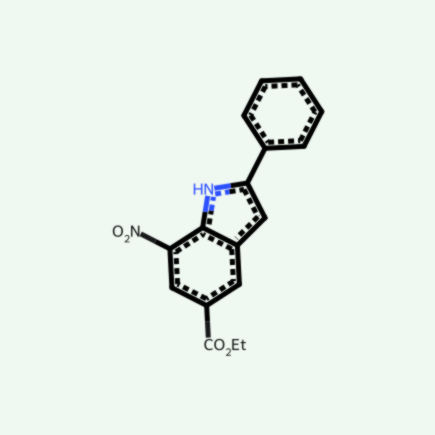 CCOC(=O)c1cc([N+](=O)[O-])c2[nH]c(-c3ccccc3)cc2c1